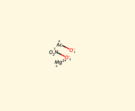 CC(=O)[O-].O=[N+]([O-])[O-].[Mg+2]